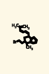 C=C(C)/C=C\C=C/C1CC(CCBr)C(C)c2ccccc21